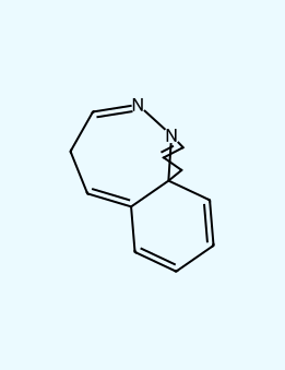 C1=CC2=CCC=NN3C=CCC23C=C1